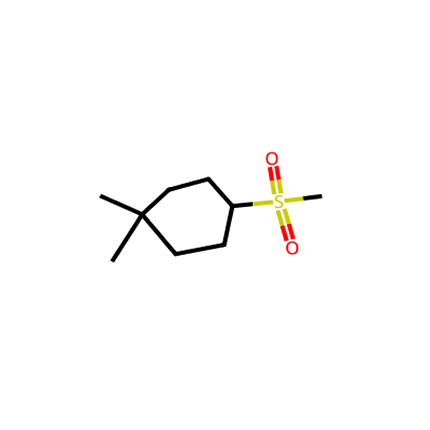 CC1(C)CCC(S(C)(=O)=O)CC1